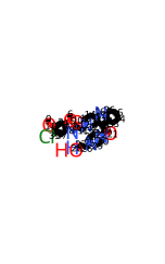 COc1cc(OC)c(NC(=O)CN2CCc3nc4c(c(C(=O)N5CCN(CCO)CC5)c3C2)CCCC4)cc1Cl